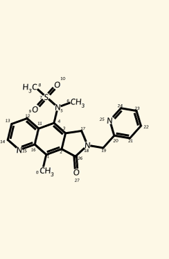 Cc1c2c(c(N(C)S(C)(=O)=O)c3cccnc13)CN(Cc1ccccn1)C2=O